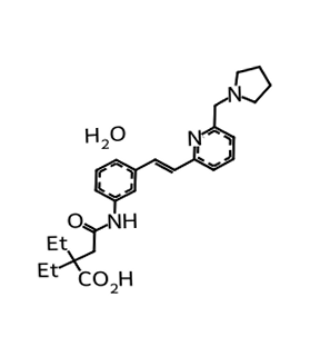 CCC(CC)(CC(=O)Nc1cccc(/C=C/c2cccc(CN3CCCC3)n2)c1)C(=O)O.O